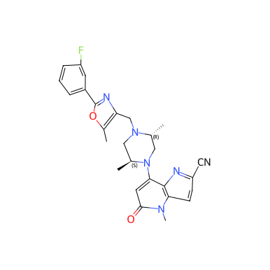 Cc1oc(-c2cccc(F)c2)nc1CN1C[C@H](C)N(c2cc(=O)n(C)c3ccc(C#N)nc23)C[C@H]1C